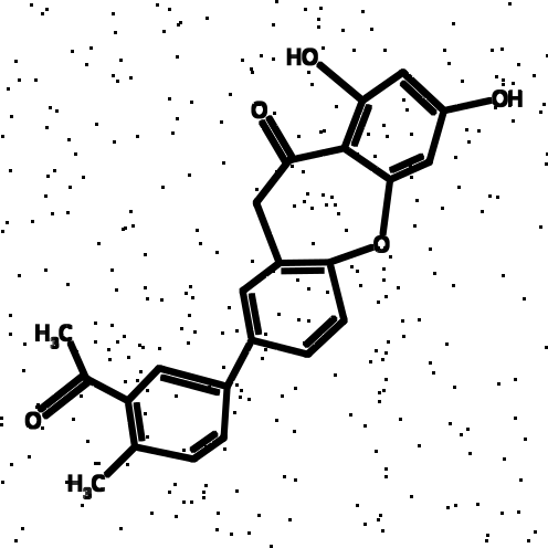 CC(=O)c1cc(-c2ccc3c(c2)CC(=O)c2c(O)cc(O)cc2O3)ccc1C